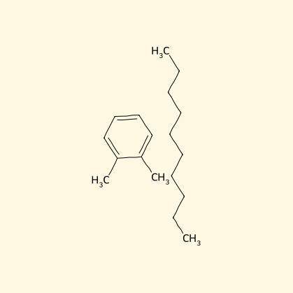 CCCCCCCCCC.Cc1ccccc1C